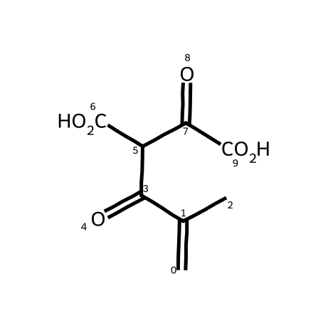 C=C(C)C(=O)C(C(=O)O)C(=O)C(=O)O